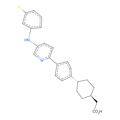 O=C(O)C[C@H]1CC[C@H](c2ccc(-c3ccc(Nc4cccc(F)c4)cn3)cc2)CC1